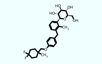 Cc1c(Cc2ccc(OCC3(C)CCC(F)(F)CC3)cc2)cccc1[C@@H]1O[C@H](CO)[C@@H](O)[C@H](O)[C@H]1O